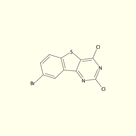 Clc1nc(Cl)c2sc3ccc(Br)cc3c2n1